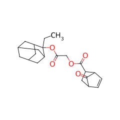 CCC1(OC(=O)COC(=O)C2CC3C=CC2C3=O)C2CC3CC(C2)CC1C3